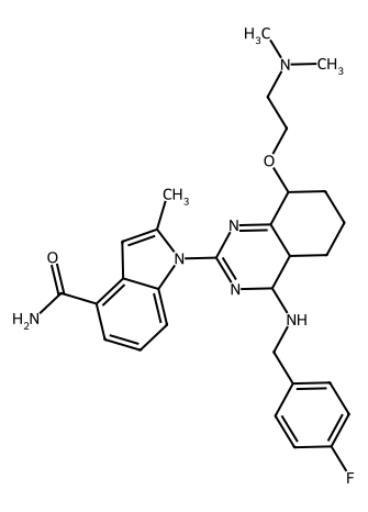 Cc1cc2c(C(N)=O)cccc2n1C1=NC(NCc2ccc(F)cc2)C2CCCC(OCCN(C)C)C2=N1